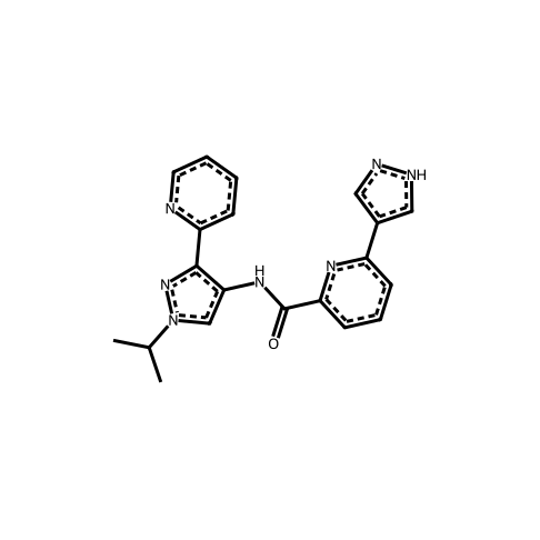 CC(C)n1cc(NC(=O)c2cccc(-c3cn[nH]c3)n2)c(-c2ccccn2)n1